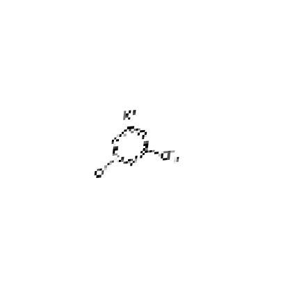 [K+].[O-]c1cccc(C(F)(F)F)c1